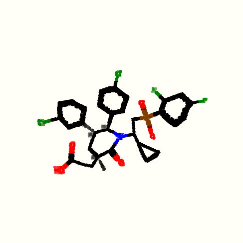 C[C@]1(CC(=O)O)C[C@H](c2cccc(Cl)c2)[C@@H](c2ccc(Cl)cc2)N(C(CS(=O)(=O)c2ccc(F)cc2F)C2CC2)C1=O